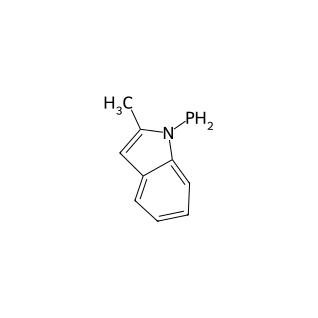 Cc1cc2ccccc2n1P